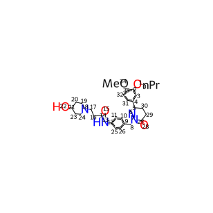 CCCOc1cc(C2=NN(Cc3ccc(NC(=O)CCN4CCC(O)CC4)cc3)C(=O)CC2)ccc1OC